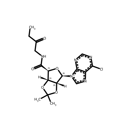 CCC(=O)CNC(=O)[C@H]1O[C@@H](n2cnc3c(Cl)ncnc32)[C@@H]2OC(C)(C)O[C@@H]21